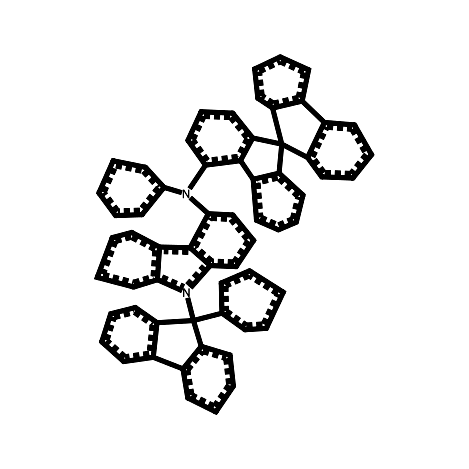 c1ccc(N(c2cccc3c2-c2ccccc2C32c3ccccc3-c3ccccc32)c2cccc3c2c2ccccc2n3C2(c3ccccc3)c3ccccc3-c3ccccc32)cc1